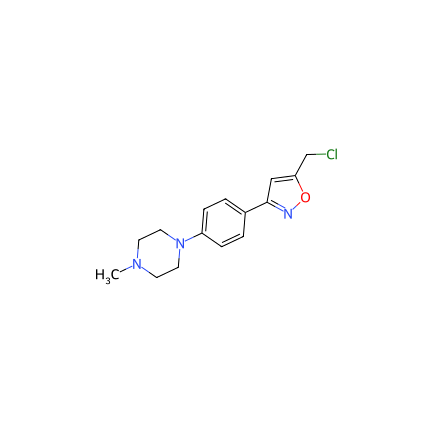 CN1CCN(c2ccc(-c3cc(CCl)on3)cc2)CC1